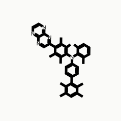 Cc1cc(C)c(C)c(-c2ccc(N(c3c(C)cccc3C)c3c(C)c(C)c(-c4cnc5nccnc5n4)c(C)c3C)cc2)c1C